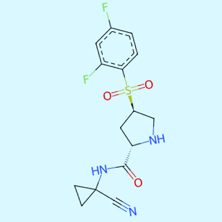 N#CC1(NC(=O)[C@@H]2C[C@@H](S(=O)(=O)c3ccc(F)cc3F)CN2)CC1